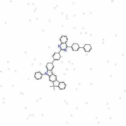 CC1(C)c2ccccc2-c2cc3c4c(n(-c5ccccc5)c3cc21)=CCC(C1=CCC(c2nc(C3=CC=C(C5=CC=CCC5)CC3)c3ccccc3n2)C=C1)C=4